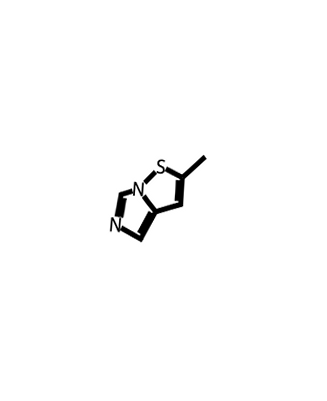 Cc1cc2cncn2s1